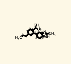 C=CCc1ccc(C(C)O)c(-c2ccc3[nH]c(C)nc3c2)c1